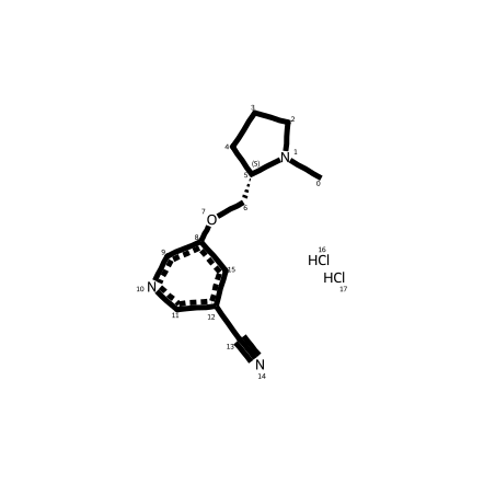 CN1CCC[C@H]1COc1cncc(C#N)c1.Cl.Cl